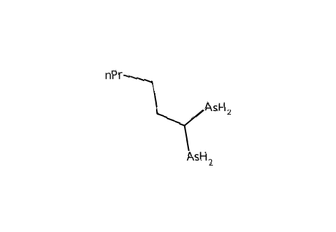 CCCCCC([AsH2])[AsH2]